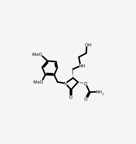 COc1ccc(CN2C(=O)[C@@H](OC(N)=O)[C@H]2CNCCO)c(OC)c1